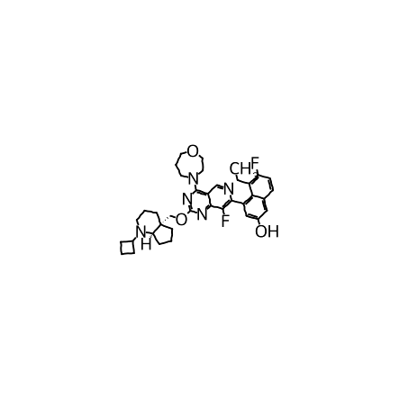 CCc1c(F)ccc2cc(O)cc(-c3ncc4c(N5CCCOCC5)nc(OC[C@]56CCC[C@H]5N(C5CCC5)CCC6)nc4c3F)c12